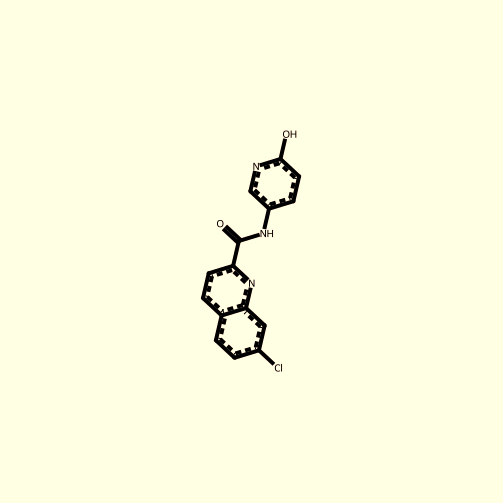 O=C(Nc1ccc(O)nc1)c1ccc2ccc(Cl)cc2n1